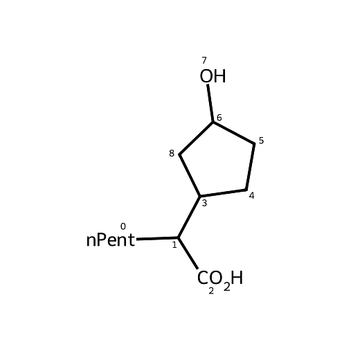 CCCCCC(C(=O)O)C1CCC(O)C1